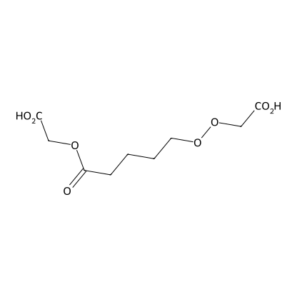 O=C(O)COOCCCCC(=O)OCC(=O)O